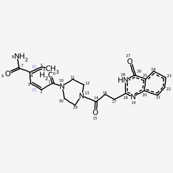 C=C(/C=C\C(=C/C)C(N)=O)N1CCN(C(=O)CCc2nc3ccccc3c(=O)[nH]2)CC1